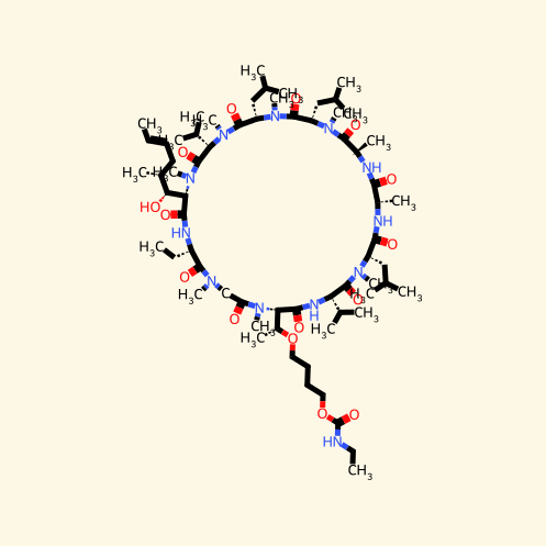 C/C=C/C[C@@H](C)[C@@H](O)[C@H]1C(=O)N[C@@H](CC)C(=O)N(C)CC(=O)N(C)[C@@H]([C@@H](C)OCCCCOC(=O)NCC)C(=O)N[C@@H](C(C)C)C(=O)N(C)[C@@H](CC(C)C)C(=O)N[C@@H](C)C(=O)N[C@H](C)C(=O)N(C)[C@@H](CC(C)C)C(=O)N(C)[C@@H](CC(C)C)C(=O)N(C)[C@@H](C(C)C)C(=O)N1C